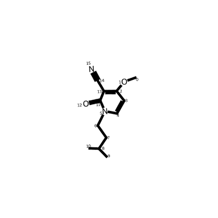 COc1ccn(CCC(C)C)c(=O)c1C#N